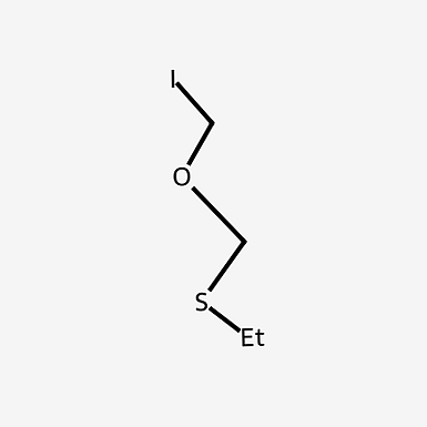 CCSCOCI